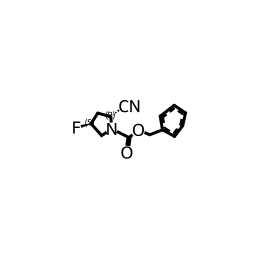 N#C[C@H]1C[C@H](F)CN1C(=O)OCc1ccccc1